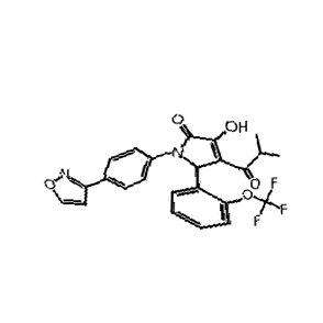 CC(C)C(=O)C1=C(O)C(=O)N(c2ccc(-c3ccon3)cc2)C1c1ccccc1OC(F)(F)F